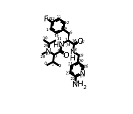 CC(C)C(C(=O)N[C@@H](Cc1ccc(F)cc1)C(=O)NCc1ccc(N)nc1)N(C)C(C)C